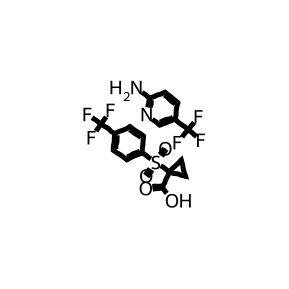 Nc1ccc(C(F)(F)F)cn1.O=C(O)C1(S(=O)(=O)c2ccc(C(F)(F)F)cc2)CC1